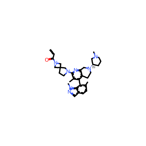 C=CC(=O)N1CC2(CCN(c3nc4c(c(-c5c(C)ccc6cnn(C)c56)c3C)CCN([C@H]3CCCN(C)C3)C4)C2)C1